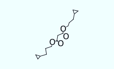 O=C(CC(=O)OCCCC1CC1)OCCCC1CC1